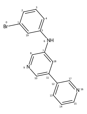 Brc1cccc(Nc2cncc(-c3cccnc3)c2)c1